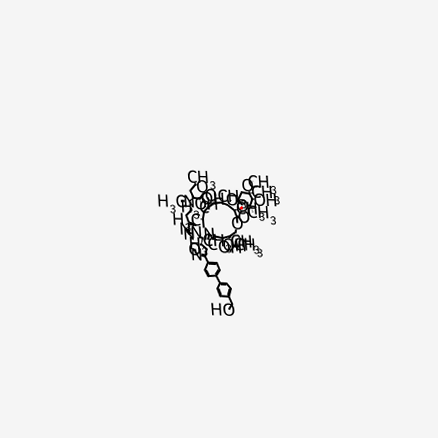 CC[C@H]1OC(=O)[C@H](C)[C@@H](O[C@H]2C[C@@](C)(OC)[C@@H](O)[C@H](C)O2)[C@H](C)[C@@H](O[C@@H]2O[C@H](C)C[C@H](N(C)CCc3cn(C[C@H]4CC(c5ccc(-c6ccc(CO)cc6)cc5)=NO4)nn3)[C@H]2O)[C@](C)(O)C[C@@H](C)CN(C)[C@H](C)[C@@H](O)[C@]1(C)O